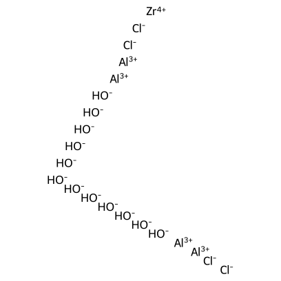 [Al+3].[Al+3].[Al+3].[Al+3].[Cl-].[Cl-].[Cl-].[Cl-].[OH-].[OH-].[OH-].[OH-].[OH-].[OH-].[OH-].[OH-].[OH-].[OH-].[OH-].[OH-].[Zr+4]